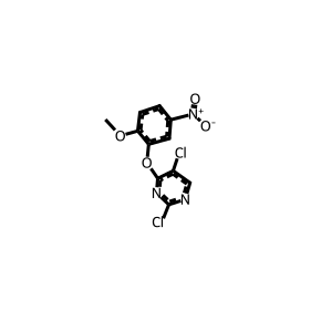 COc1ccc([N+](=O)[O-])cc1Oc1nc(Cl)ncc1Cl